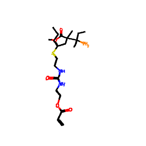 C=CC(=O)OCCNC(=O)NCCSC(CCC)CC(C)(C(=O)OC)C(C)(P)CC